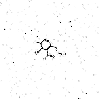 Cc1ccc(CCO)c([N+](=O)[O-])c1N